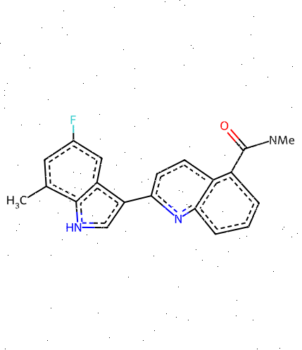 CNC(=O)c1cccc2nc(-c3c[nH]c4c(C)cc(F)cc34)ccc12